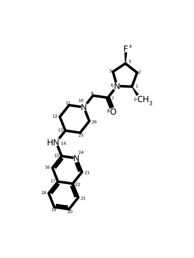 C[C@@H]1C[C@H](F)CN1C(=O)CN1CCC(Nc2cc3ccccc3cn2)CC1